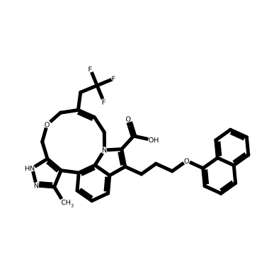 Cc1n[nH]c2c1-c1cccc3c(CCCOc4cccc5ccccc45)c(C(=O)O)n(c13)C/C=C(/CC(F)(F)F)COC2